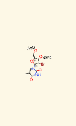 CC(=O)OOC[C@@H]1O[C@H](n2cc(C)c(=O)[nH]c2=O)C(Br)C1OOC(C)=O